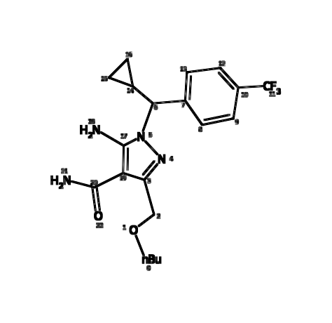 CCCCOCc1nn(C(c2ccc(C(F)(F)F)cc2)C2CC2)c(N)c1C(N)=O